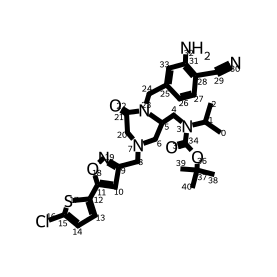 CC(C)N(CC1CN(Cc2cc(-c3ccc(Cl)s3)on2)CC(=O)N1Cc1ccc(C#N)c(N)c1)C(=O)OC(C)(C)C